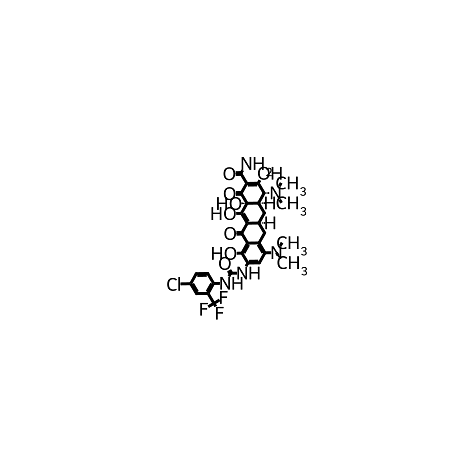 CN(C)c1cc(NC(=O)Nc2ccc(Cl)cc2C(F)(F)F)c(O)c2c1C[C@@H]1C[C@@H]3[C@@H](N(C)C)C(O)=C(C(N)=O)C(=O)[C@]3(O)C(O)=C1C2=O